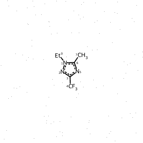 CCn1nc(C(F)(F)F)nc1C